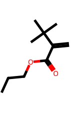 C=C(C(=O)OCCC)C(C)(C)C